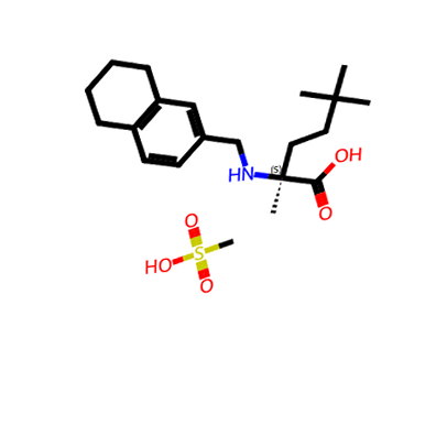 CC(C)(C)CC[C@](C)(NCc1ccc2c(c1)CCCC2)C(=O)O.CS(=O)(=O)O